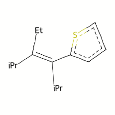 CC/C(=C(\c1cccs1)C(C)C)C(C)C